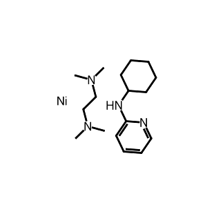 CN(C)CCN(C)C.[Ni].c1ccc(NC2CCCCC2)nc1